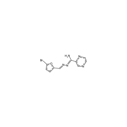 NC(=NN=Cc1ccc(Br)o1)c1cnccn1